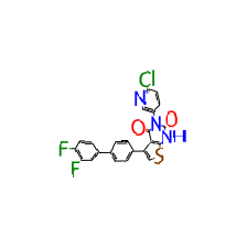 O=c1[nH]c2scc(-c3ccc(-c4ccc(F)c(F)c4)cc3)c2c(=O)n1-c1ccc(Cl)nc1